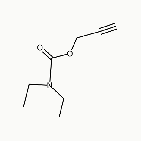 C#CCOC(=O)N(CC)CC